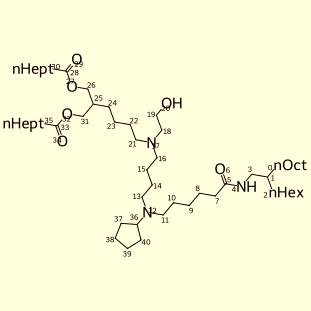 CCCCCCCCC(CCCCCC)CNC(=O)CCCCCN(CCCCN(CCO)CCCCC(COC(=O)CCCCCCC)COC(=O)CCCCCCC)C1CCCC1